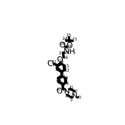 CN1CCN(C(=O)c2ccc(-c3ccc(OCCNC(=O)OC(C)(C)C)c(Cl)c3)cc2)CC1